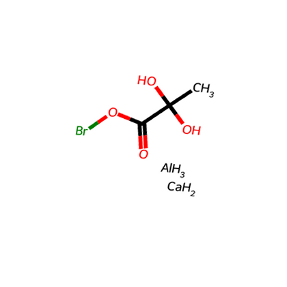 CC(O)(O)C(=O)OBr.[AlH3].[CaH2]